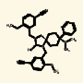 COc1ccc(C#N)cc1CN1C[C@]2(CC[C@](c3ccccc3)(N(C)C)CC2)N(Cc2cc(C#N)ccc2OC)C1O